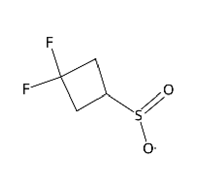 [O]S(=O)C1CC(F)(F)C1